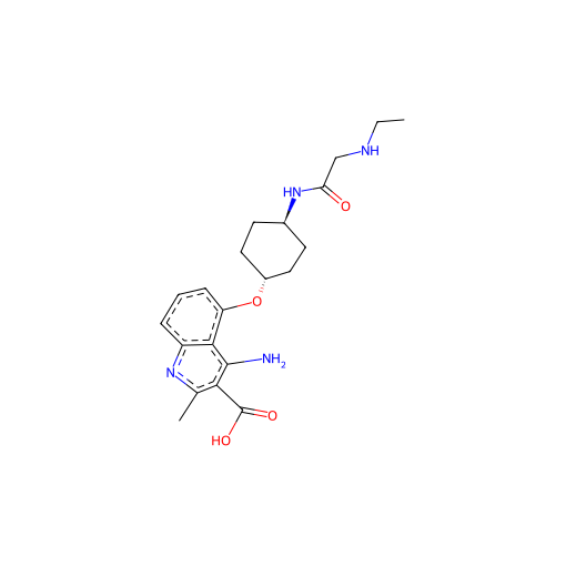 CCNCC(=O)N[C@H]1CC[C@H](Oc2cccc3nc(C)c(C(=O)O)c(N)c23)CC1